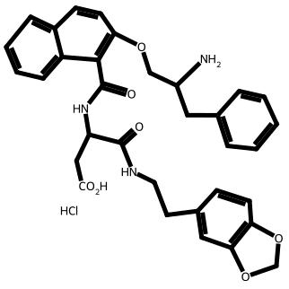 Cl.NC(COc1ccc2ccccc2c1C(=O)NC(CC(=O)O)C(=O)NCCc1ccc2c(c1)OCO2)Cc1ccccc1